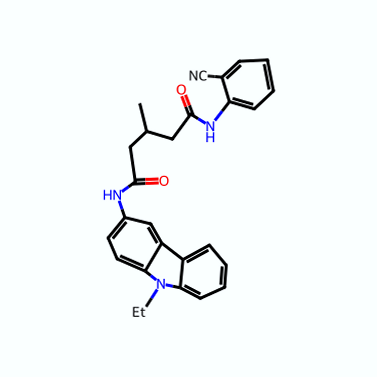 CCn1c2ccccc2c2cc(NC(=O)CC(C)CC(=O)Nc3ccccc3C#N)ccc21